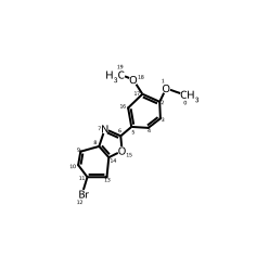 COc1ccc(-c2nc3ccc(Br)cc3o2)cc1OC